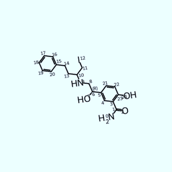 NC(=O)c1cc([C@@H](O)CNC(CI)CCc2ccccc2)ccc1O